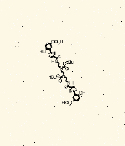 CC(C)(C)OC(=O)N(CCNC(=S)c1csc(-c2cc(C(=O)O)ccc2O)n1)CCN(CCNC(=S)c1csc(-c2cc(C(=O)O)ccc2O)n1)C(=O)OC(C)(C)C